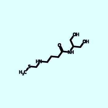 CSCNCCCC(=O)NC(CO)CO